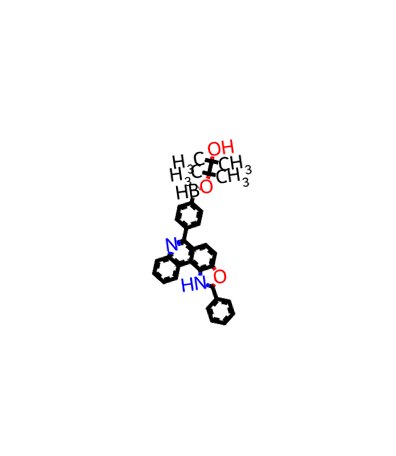 CC(C)(O)C(C)(C)OBc1ccc(-c2nc3ccccc3c3c4c(ccc23)OC(c2ccccc2)N4)cc1